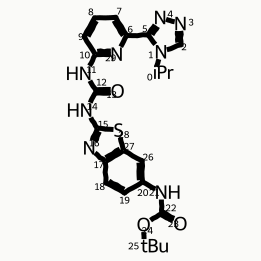 CC(C)n1cnnc1-c1cccc(NC(=O)Nc2nc3ccc(NC(=O)OC(C)(C)C)cc3s2)n1